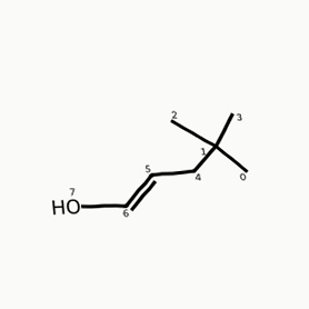 CC(C)(C)CC=CO